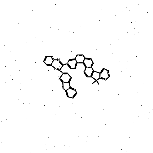 CC1(C)c2ccccc2-c2c1ccc1c2ccc2ccc3cc(-c4nc5ccccc5nc4-c4ccc5c(c4)sc4ccccc45)ccc3c21